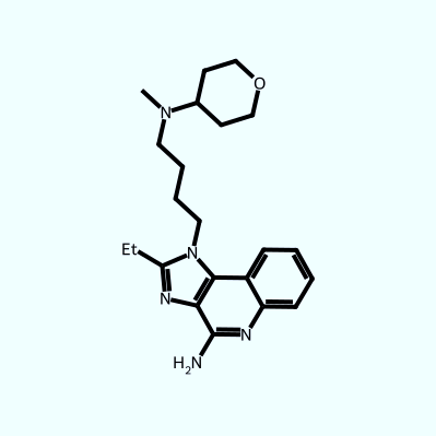 CCc1nc2c(N)nc3ccccc3c2n1CCCCN(C)C1CCOCC1